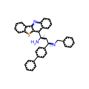 N/C(=C\C(=N/Cc1ccccc1)c1ccc(-c2ccccc2)cc1)c1c2ccccc2nc2c1sc1ccccc12